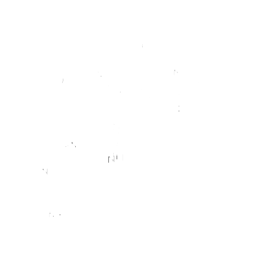 COc1cc(Nc2ncnc(N)c2C)cc2c1C(=O)NC21CCCCC1